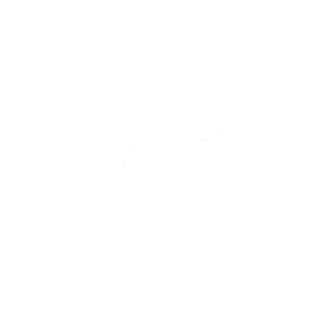 CC(C)(C)NCc1cc(C(C)(C)C)cc(-c2cccc(C(F)(F)F)n2)c1O